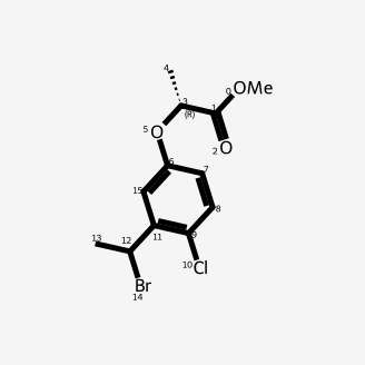 COC(=O)[C@@H](C)Oc1ccc(Cl)c(C(C)Br)c1